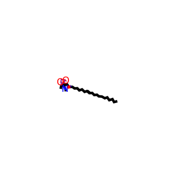 CCCCCCCCCCCC=CCCCCCCCCC(CC)(P(=O)=O)[N+](C)(C)C